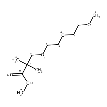 COCCOCCOCC(C)(C)C(=O)OC